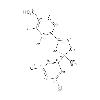 Cc1c(C(=O)O)ccc(C2=NOC(c3cc(Cl)cc(Cl)c3)(C(F)(F)F)C2)c1C